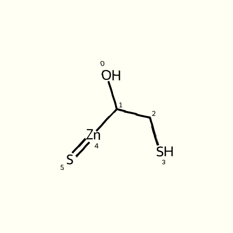 O[CH](CS)[Zn]=[S]